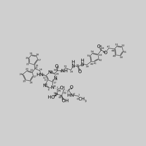 CCNC(=O)[C@H]1O[C@@H](n2cnc3c(NCC(c4ccccc4)c4ccccc4)nc(C(=O)NCCNC(=O)NCc4ccc(C(=O)OCc5ccccc5)cc4)nc32)[C@H](O)[C@@H]1O